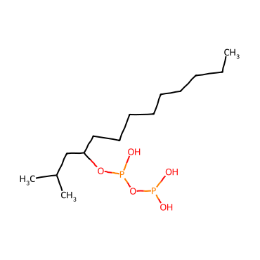 CCCCCCCCCC(CC(C)C)OP(O)OP(O)O